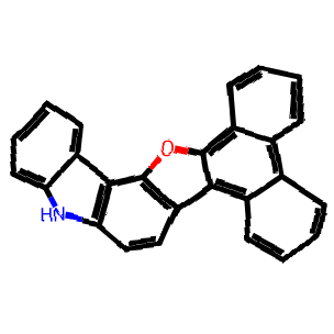 c1ccc2c(c1)[nH]c1ccc3c(oc4c5ccccc5c5ccccc5c34)c12